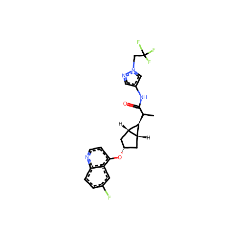 CC(C(=O)Nc1cnn(CC(F)(F)F)c1)[C@H]1[C@@H]2C[C@H](Oc3ccnc4ccc(F)cc34)C[C@@H]21